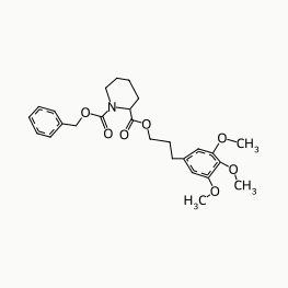 COc1cc(CCCOC(=O)C2CCCCN2C(=O)OCc2ccccc2)cc(OC)c1OC